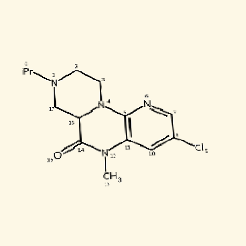 CC(C)N1CCN2c3ncc(Cl)cc3N(C)C(=O)C2C1